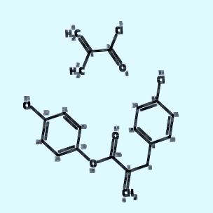 C=C(C)C(=O)Cl.C=C(Cc1ccc(Cl)cc1)C(=O)Oc1ccc(Cl)cc1